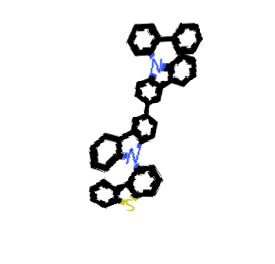 C1=CCC2C(=C1)N(c1cccc3sc4ccccc4c13)c1ccc(-c3ccc4c(c3)c3ccccc3n4-c3ccccc3-c3ccccc3)cc12